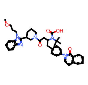 COCCCn1c(C2CCCN(C(=O)CC(Cc3ccc(-n4ccc5ccccc5c4=O)cc3)N(C(=O)O)C(C)(C)C)C2)nc2ccccc21